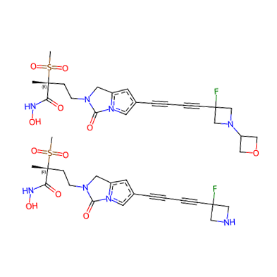 C[C@@](CCN1Cc2cc(C#CC#CC3(F)CN(C4COC4)C3)cn2C1=O)(C(=O)NO)S(C)(=O)=O.C[C@@](CCN1Cc2cc(C#CC#CC3(F)CNC3)cn2C1=O)(C(=O)NO)S(C)(=O)=O